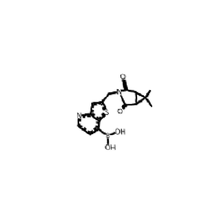 CC1(C)C2C(=O)N(Cc3cc4nccc(B(O)O)c4s3)C(=O)C21